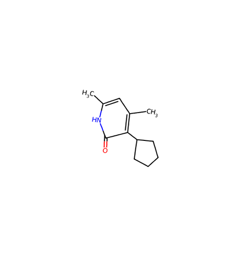 Cc1cc(C)c(C2CCCC2)c(=O)[nH]1